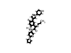 CCC/N=C(/C(=O)Nc1ccc(N2CCCC2)nc1)c1cc(-c2cnn(C3CCNCC3)c2)c(F)cc1C